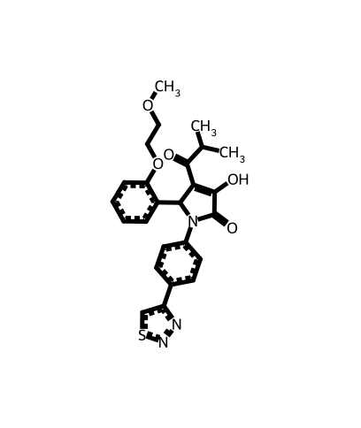 COCCOc1ccccc1C1C(C(=O)C(C)C)=C(O)C(=O)N1c1ccc(-c2csnn2)cc1